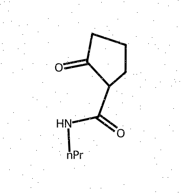 CCCNC(=O)C1CCCC1=O